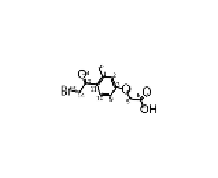 Cc1cc(OCC(=O)O)ccc1C(=O)CBr